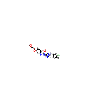 COCCOc1ccc(C(=O)Nc2cn(Cc3cccc(Cl)c3)cn2)cc1